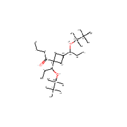 CCCC(=O)C1(C(CC)O[Si](C)(C)C(C)(C)C)CC(C(CC)O[Si](C)(C)C(C)(C)C)C1